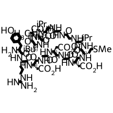 CC[C@H](C)[C@H](NC(=O)[C@@H](NC(=O)[C@@H](NC(=O)CNC(=O)CNC(=O)[C@@H](NC(=O)[C@H](CCSC)NC(=O)[C@H](CC(=O)O)NC(=O)CNC(=O)[C@H](CC(=O)O)NC(=O)CNC(=O)[C@H](CC(=O)O)NC(=O)[C@H](CCCNC(=N)N)NC(=O)[C@@H](N)Cc1ccc(O)cc1)C(C)C)C(C)C)C(C)C)C(=O)N[C@@H](C)C(=O)O